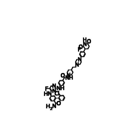 NC(=O)c1ccc(Nc2nc(Nc3ccc(C(=O)NN4CCC(CCN5CCN(c6ccc(C7CCC(=O)NC7=O)c(F)c6)CC5)CC4)cc3)ncc2F)cc1-c1ccccc1Cl